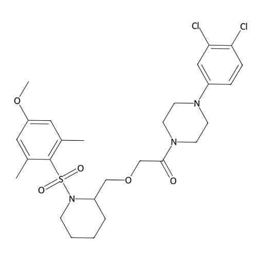 COc1cc(C)c(S(=O)(=O)N2CCCCC2COCC(=O)N2CCN(c3ccc(Cl)c(Cl)c3)CC2)c(C)c1